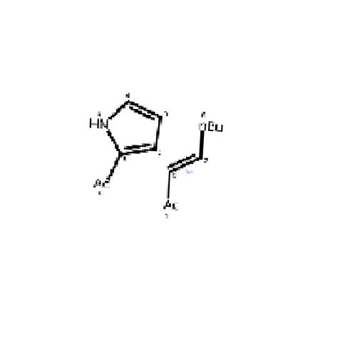 CC(=O)c1ccc[nH]1.CCCC/C=C/C(C)=O